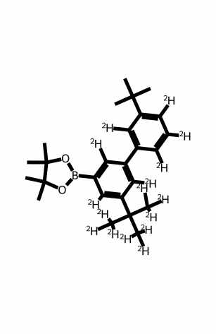 [2H]c1c([2H])c(-c2c([2H])c(B3OC(C)(C)C(C)(C)O3)c([2H])c(C(C([2H])([2H])[2H])(C([2H])([2H])[2H])C([2H])([2H])[2H])c2[2H])c([2H])c(C(C)(C)C)c1[2H]